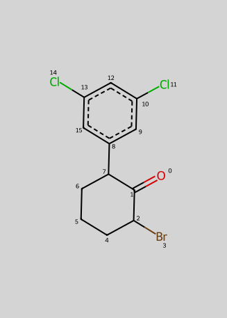 O=C1C(Br)CCCC1c1cc(Cl)cc(Cl)c1